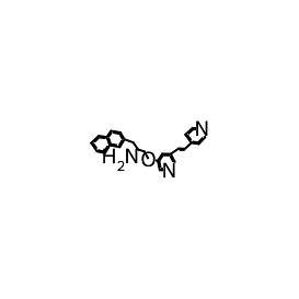 N[C@H](COc1cncc(C=Cc2ccncc2)c1)Cc1ccc2ccccc2c1